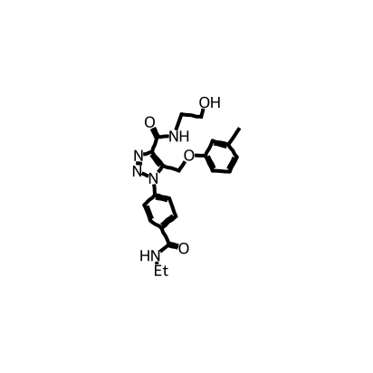 CCNC(=O)c1ccc(-n2nnc(C(=O)NCCO)c2COc2cccc(C)c2)cc1